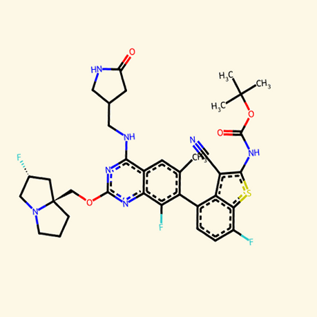 Cc1cc2c(NCC3CNC(=O)C3)nc(OC[C@@]34CCCN3C[C@H](F)C4)nc2c(F)c1-c1ccc(F)c2sc(NC(=O)OC(C)(C)C)c(C#N)c12